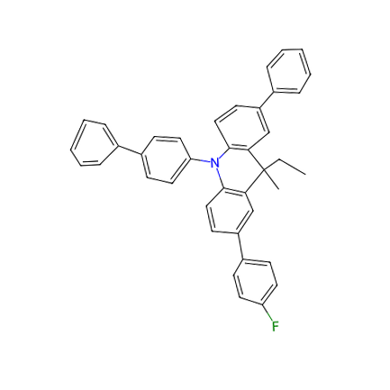 CCC1(C)c2cc(-c3ccccc3)ccc2N(c2ccc(-c3ccccc3)cc2)c2ccc(-c3ccc(F)cc3)cc21